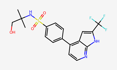 CC(C)(CO)NS(=O)(=O)c1ccc(-c2ccnc3[nH]c(C(F)(F)F)cc23)cc1